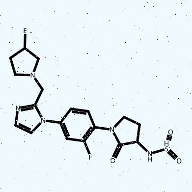 O=C1C(N[SH](=O)=O)CCN1c1ccc(-n2ccnc2CN2CCC(F)C2)cc1F